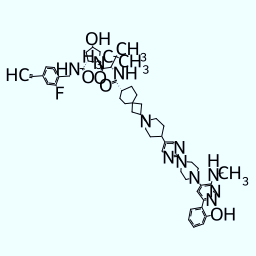 C#Cc1ccc(CNC(=O)[C@@H]2C[C@@H](O)CN2C(=O)[C@@H](NC(=O)[C@H]2CCC3(CC2)C[C@H](N2CCC(c4cnc(N5CCN(c6cc(-c7ccccc7O)nnc6NC)CC5)nc4)CC2)C3)C(C)(C)C)c(F)c1